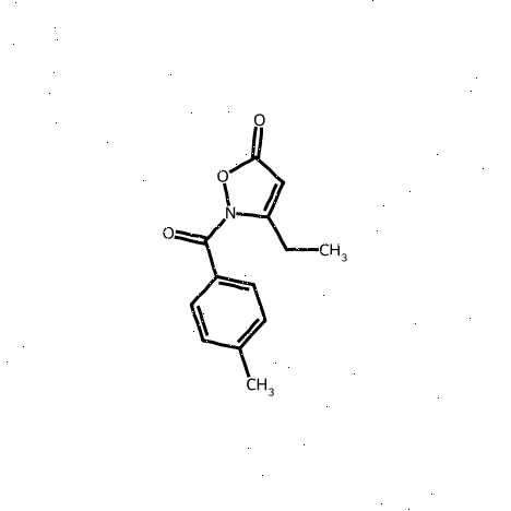 CCc1cc(=O)on1C(=O)c1ccc(C)cc1